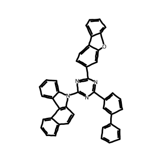 c1ccc(-c2cccc(-c3nc(-c4ccc5c(c4)oc4ccccc45)nc(-n4c5ccccc5c5c6ccccc6ccc54)n3)c2)cc1